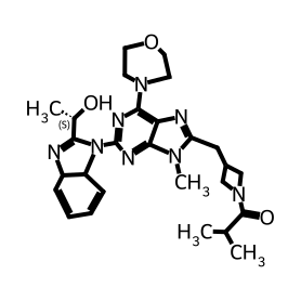 CC(C)C(=O)N1CC(Cc2nc3c(N4CCOCC4)nc(N4C([C@H](C)O)=NC5C=CC=CC54)nc3n2C)C1